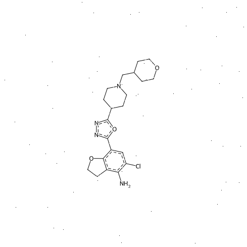 Nc1c(Cl)cc(-c2nnc(C3CCN(CC4CCOCC4)CC3)o2)c2c1CCO2